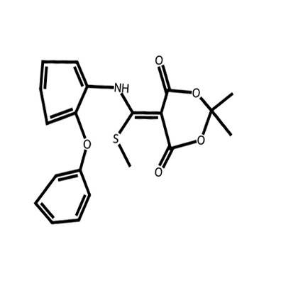 CSC(Nc1ccccc1Oc1ccccc1)=C1C(=O)OC(C)(C)OC1=O